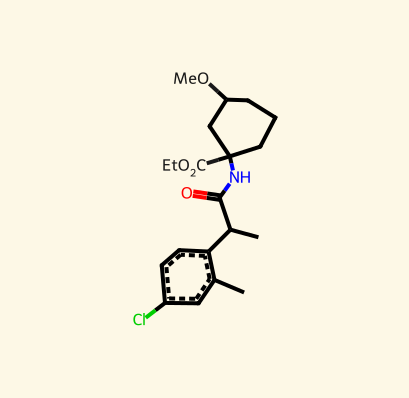 CCOC(=O)C1(NC(=O)C(C)c2ccc(Cl)cc2C)CCCC(OC)C1